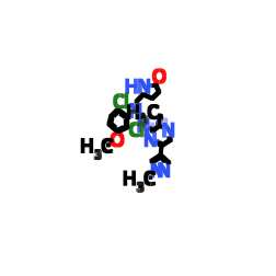 C/C=C1/N=CC(c2cnn(C)c2)=N/C1=N/CN(CC1CCC(=O)N1)c1c(Cl)ccc(OC)c1Cl